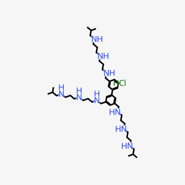 CC(C)CNCCCNCCCNCc1cccc(-c2cc(CNCCCNCCCNCC(C)C)cc(CNCCCNCCCNCC(C)C)c2)c1.Cl